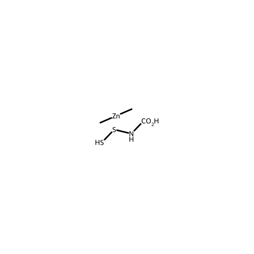 O=C(O)NSS.[CH3][Zn][CH3]